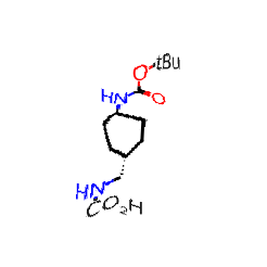 CC(C)(C)OC(=O)N[C@H]1CC[C@H](CNC(=O)O)CC1